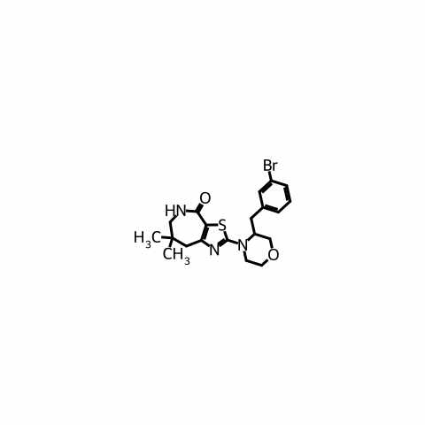 CC1(C)CNC(=O)c2sc(N3CCOCC3Cc3cccc(Br)c3)nc2C1